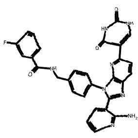 Nc1ncccc1-c1nc2ccc(-c3c[nH]c(=O)[nH]c3=O)nc2n1-c1ccc(CNC(=O)c2cccc(F)c2)cc1